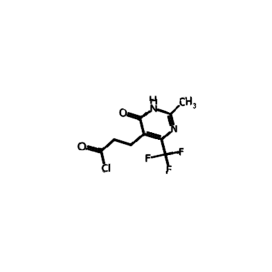 Cc1nc(C(F)(F)F)c(CCC(=O)Cl)c(=O)[nH]1